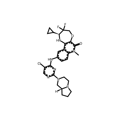 Cn1c(=O)c2c(c3cc(Nc4nc(N5CCN6CCC[C@@H]6C5)ncc4Cl)ccc31)N[C@@H](C1CC1)C(F)(F)CO2